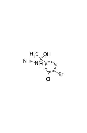 C[SH](O)(=NC#N)c1ccc(Br)c(Cl)c1